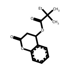 CCC(C)(C)C(=O)OC1CC(=O)Oc2ccccc21